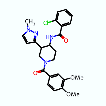 COc1ccc(C(=O)N2CCC(NC(=O)c3ccccc3Cl)C(c3ccn(C)n3)C2)cc1OC